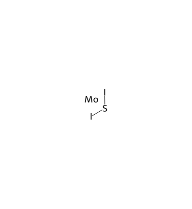 ISI.[Mo]